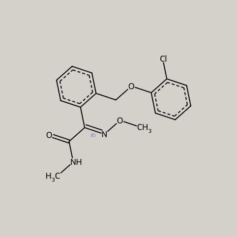 CNC(=O)/C(=N/OC)c1ccccc1COc1ccccc1Cl